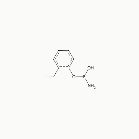 CCc1ccccc1OP(N)O